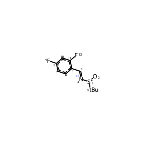 CC(C)(C)[S+]([O-])/N=C/c1ccc(F)cc1F